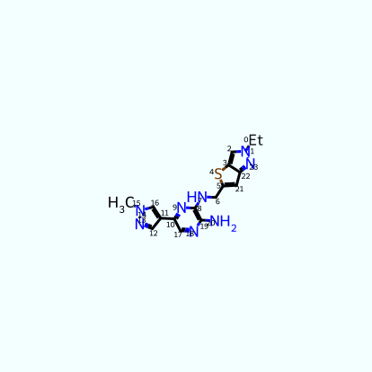 CCn1cc2sc(CNc3nc(-c4cnn(C)c4)cnc3N)cc2n1